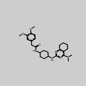 COc1ccc(CC(=O)NC2CCC(Nc3nc4c(c(N(C)C)n3)CCCC4)CC2)cc1OC